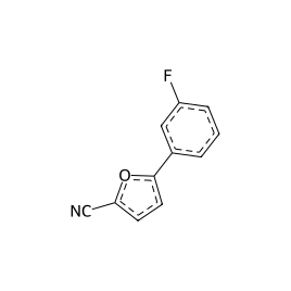 N#Cc1ccc(-c2cccc(F)c2)o1